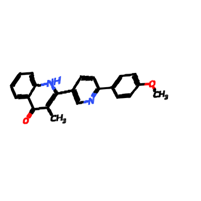 COc1ccc(-c2ccc(-c3[nH]c4ccccc4c(=O)c3C)cn2)cc1